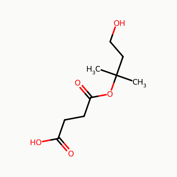 CC(C)(CCO)OC(=O)CCC(=O)O